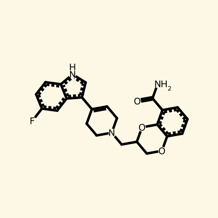 NC(=O)c1cccc2c1OC(CN1CC=C(c3c[nH]c4ccc(F)cc34)CC1)CO2